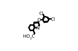 O=C(O)CC1CCCc2cc(Oc3ccc(Cl)cc3Cl)cnc21